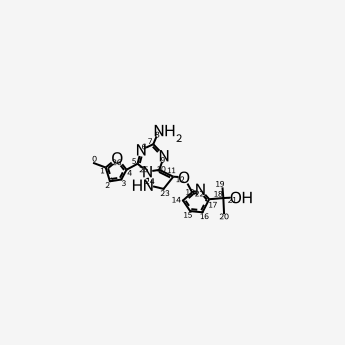 Cc1ccc(C2=NC(N)=NC3=C(Oc4cccc(C(C)(C)O)n4)CNN23)o1